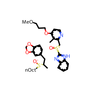 CCCCCCCC[S+]([O-])C(C)Cc1ccc2c(c1)OCO2.COCCCOc1ccnc(C[S+]([O-])c2nc3ccccc3[nH]2)c1C